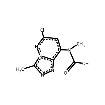 Cc1nnc2c(N(C)C(=O)O)cc(Cl)nn12